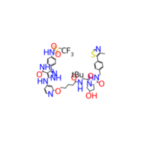 Cc1ncsc1-c1ccc(CNC(=O)[C@@H]2C[C@@H](O)CN2C(=O)C(NC(=O)CCCCOc2cc(Nc3[nH]nc(-c4ccc(NS(=O)(=O)CC(F)(F)F)cc4)c3C(N)=O)ccn2)C(C)(C)C)cc1